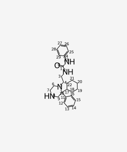 O=C(NCCN1CCNCC1(c1ccccc1)C1CCCCC1)Nc1ccccc1